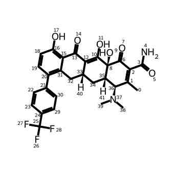 CC1=C(C(N)=O)C(=O)[C@@]2(O)C(O)=C3C(=O)c4c(O)ccc(-c5ccc(C(F)(F)F)cc5)c4C[C@H]3C[C@H]2[C@@H]1N(C)C